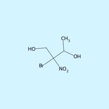 CC(O)C(Br)(CO)[N+](=O)[O-]